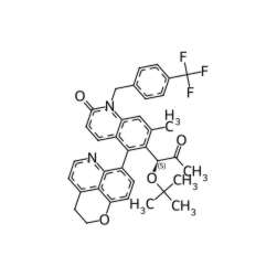 CC(=O)[C@@H](OC(C)(C)C)c1c(C)cc2c(ccc(=O)n2Cc2ccc(C(F)(F)F)cc2)c1-c1ccc2c3c(ccnc13)CCO2